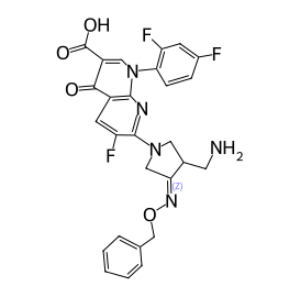 NCC1CN(c2nc3c(cc2F)c(=O)c(C(=O)O)cn3-c2ccc(F)cc2F)C/C1=N\OCc1ccccc1